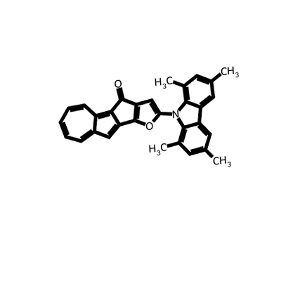 Cc1cc(C)c2c(c1)c1cc(C)cc(C)c1n2-c1cc2c(o1)-c1cc3cccccc-3c1C2=O